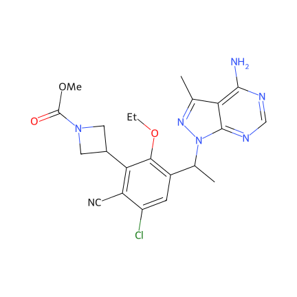 CCOc1c(C(C)n2nc(C)c3c(N)ncnc32)cc(Cl)c(C#N)c1C1CN(C(=O)OC)C1